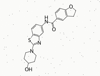 O=C(Nc1ccc2sc(N3CCC(O)CC3)nc2c1)c1ccc2c(c1)CCO2